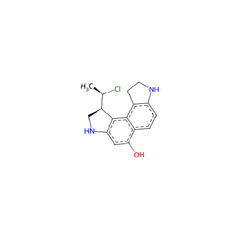 C[C@@H](Cl)[C@@H]1CNc2cc(O)c3ccc4c(c3c21)CCN4